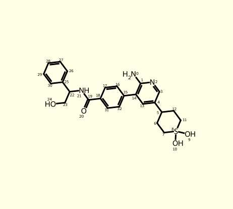 Nc1ncc(C2CCS(O)(O)CC2)cc1-c1ccc(C(=O)NC(CO)c2ccccc2)cc1